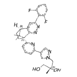 CC1(C)[C@H]2CC[C@]1(c1cccc(-c3cnn(C[C@](C)(O)CO)c3)n1)c1nnc(-c3c(F)cccc3F)cc12